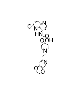 COc1ccc2nccc(NC(=O)OC3(O)CCN(CCc4cc5c(cn4)OCCO5)CC3)c2n1